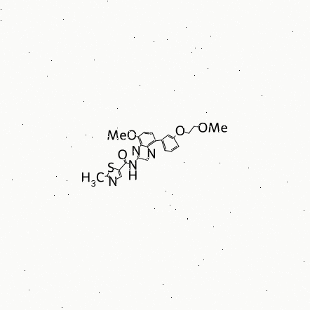 COCCOc1cccc(-c2ccc(OC)c3nc(NC(=O)c4cnc(C)s4)cnc23)c1